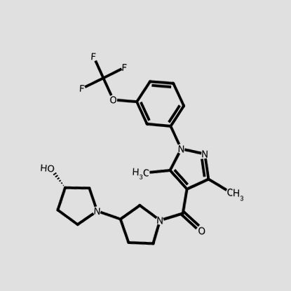 Cc1nn(-c2cccc(OC(F)(F)F)c2)c(C)c1C(=O)N1CCC(N2CC[C@H](O)C2)C1